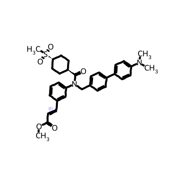 COC(=O)/C=C/c1cccc(N(Cc2ccc(-c3ccc(N(C)C)cc3)cc2)C(=O)[C@H]2CC[C@H](S(C)(=O)=O)CC2)c1